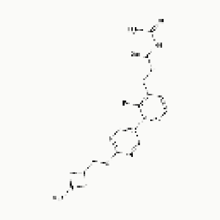 CSN1CC(COc2ncc(-c3cccc(COC(=O)NC(=N)N)c3F)cn2)C1